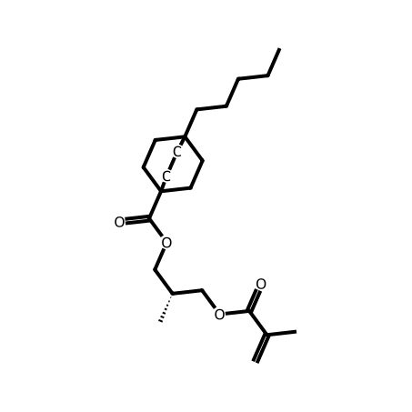 C=C(C)C(=O)OC[C@H](C)COC(=O)C12CCC(CCCCC)(CC1)CC2